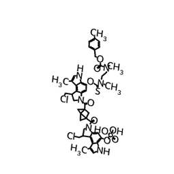 Cc1ccc(COC(=O)N(C)CCN(C)C(=S)Oc2cc3c(c4c(C)c[nH]c24)C(CCl)CN3C(=O)C23CC4(C(=O)N5CC(CCl)c6c5cc(OP(=O)(O)O)c5[nH]cc(C)c65)CC24C3)cc1